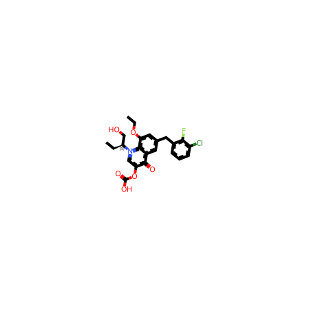 CCOc1cc(Cc2cccc(Cl)c2F)cc2c(=O)c(OC(=O)O)cn([C@@H](CC)CO)c12